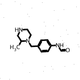 CC1CNCCN1Cc1ccc(NC=O)cc1